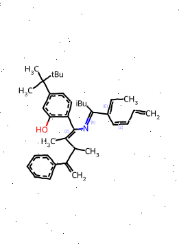 C=C\C=C/C(=C\C)C(=N/C(=C(/C)C(C)C(=C)c1ccccc1)c1ccc(C(C)(C)C(C)(C)C)cc1O)/C(C)CC